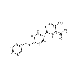 O=C(NC(C(=O)O)C(=O)O)c1ccc(OCc2ccccc2)cn1